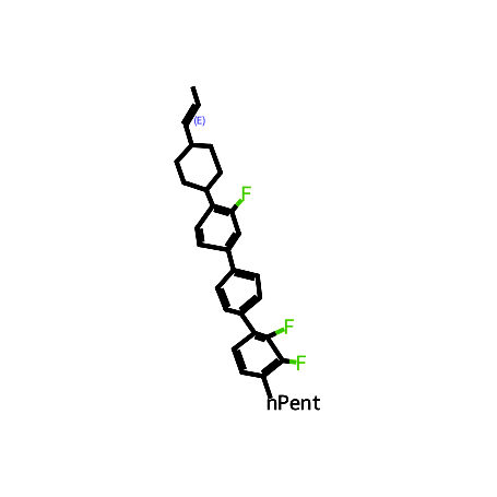 C/C=C/C1CCC(c2ccc(-c3ccc(-c4ccc(CCCCC)c(F)c4F)cc3)cc2F)CC1